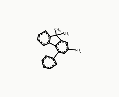 CC1(C)c2ccccc2-c2c(-c3ccccc3)cc(N)cc21